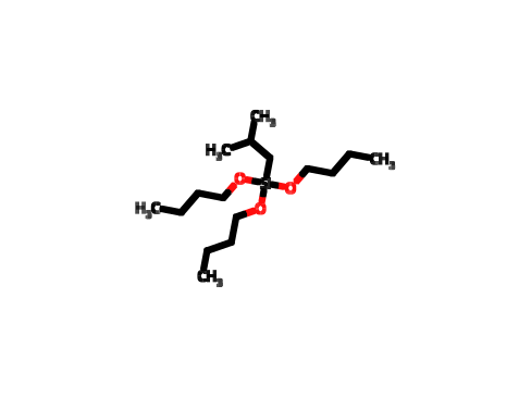 CCCCO[Si](CC(C)C)(OCCCC)OCCCC